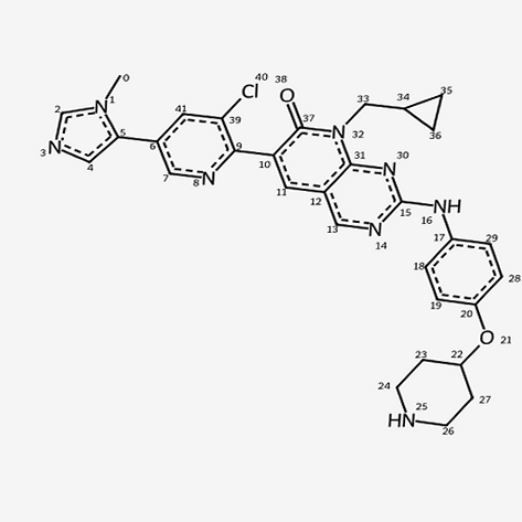 Cn1cncc1-c1cnc(-c2cc3cnc(Nc4ccc(OC5CCNCC5)cc4)nc3n(CC3CC3)c2=O)c(Cl)c1